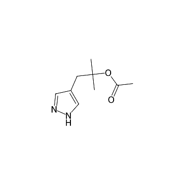 CC(=O)OC(C)(C)Cc1cn[nH]c1